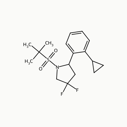 CC(C)(C)S(=O)(=O)N1CC(F)(F)CC1c1ccccc1C1CC1